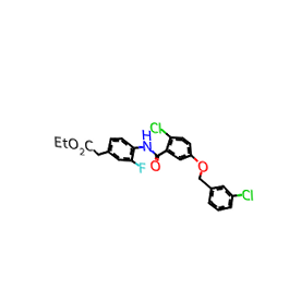 CCOC(=O)Cc1ccc(NC(=O)c2cc(OCc3cccc(Cl)c3)ccc2Cl)c(F)c1